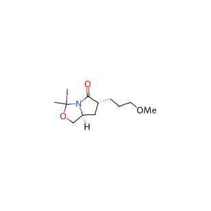 COCCC[C@@H]1C[C@H]2COC(C)(I)N2C1=O